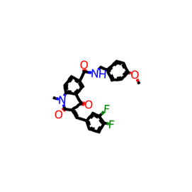 COc1ccc(CNC(=O)c2ccc3c(c2)C(=O)/C(=C\c2ccc(F)c(F)c2)C(=O)N3C)cc1